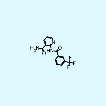 NC(=O)c1cccnc1NC(=O)c1cccc(C(F)(F)F)c1